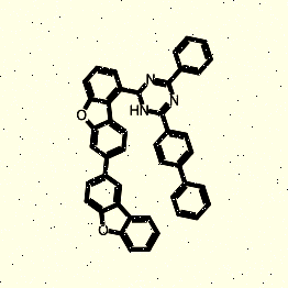 c1ccc(C2=NC(c3cccc4oc5cc(-c6ccc7oc8ccccc8c7c6)ccc5c34)NC(c3ccc(-c4ccccc4)cc3)=N2)cc1